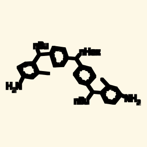 CCCCCCC(c1ccc(C(CCCC)c2ccc(N)cc2C)cc1)c1ccc(C(CCCC)c2ccc(N)cc2C)cc1